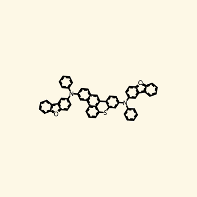 c1ccc(N(c2ccc3c(c2)Sc2cccc4c2c-3cc2ccc(N(c3ccccc3)c3ccc5oc6ccccc6c5c3)cc24)c2ccc3oc4ccccc4c3c2)cc1